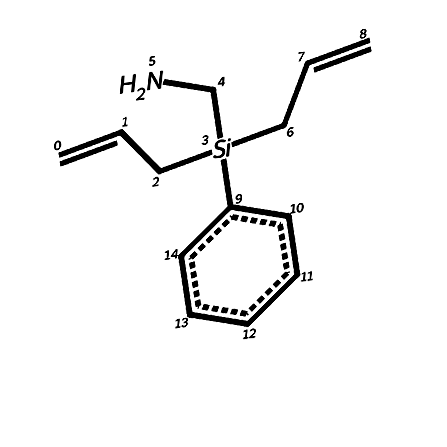 C=CC[Si](CN)(CC=C)c1ccccc1